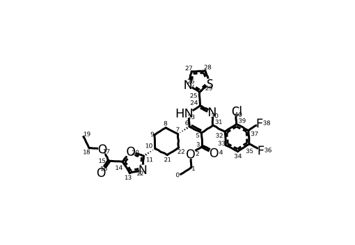 CCOC(=O)C1=C([C@H]2CC[C@@H](c3ncc(C(=O)OCC)o3)CC2)NC(c2nccs2)=NC1c1ccc(F)c(F)c1Cl